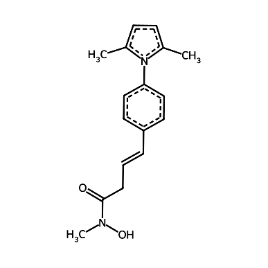 Cc1ccc(C)n1-c1ccc(/C=C/CC(=O)N(C)O)cc1